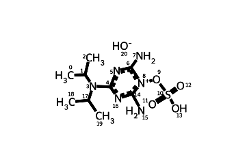 CC(C)N(c1nc(N)[n+](OS(=O)(=O)O)c(N)n1)C(C)C.[OH-]